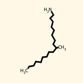 CCCCCCCCCC(C)CCCCCCCCN